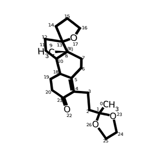 CC1(CCC2=C3CC[C@]4(C)C(CCC45CCCO5)C3CCC2=O)OCCO1